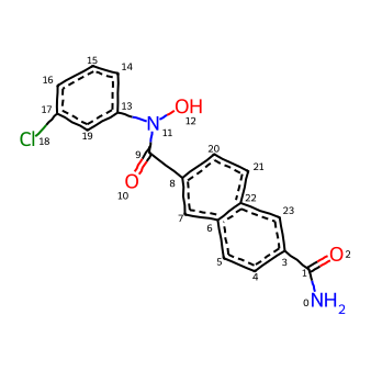 NC(=O)c1ccc2cc(C(=O)N(O)c3cccc(Cl)c3)ccc2c1